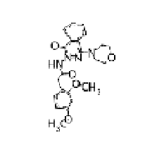 COc1ccc(CC(=O)Nn2nc(N3CCOCC3)c3ccccc3c2=O)c(OC)c1